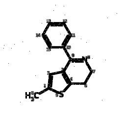 Cc1cc2c(s1)CCN=C2c1ccccc1